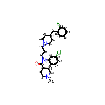 CC(=O)N1CCC(C(=O)N(CCCN2CCC(Cc3ccccc3F)CC2)c2cccc(Cl)c2)CC1